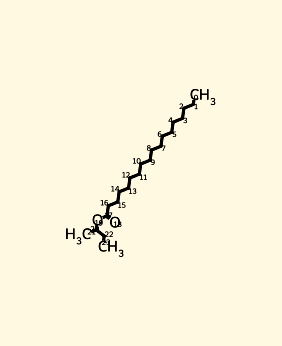 CCCCCCCCCCCCCCCCCC(=O)OC(C)CC